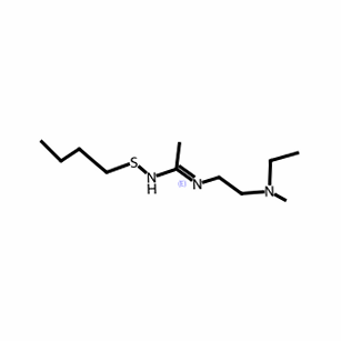 CCCCSN/C(C)=N/CCN(C)CC